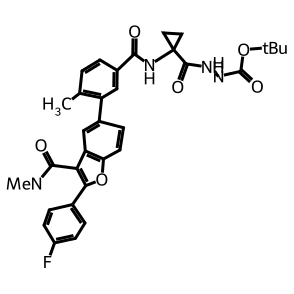 CNC(=O)c1c(-c2ccc(F)cc2)oc2ccc(-c3cc(C(=O)NC4(C(=O)NNC(=O)OC(C)(C)C)CC4)ccc3C)cc12